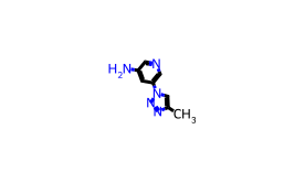 Cc1cn(-c2cncc(N)c2)nn1